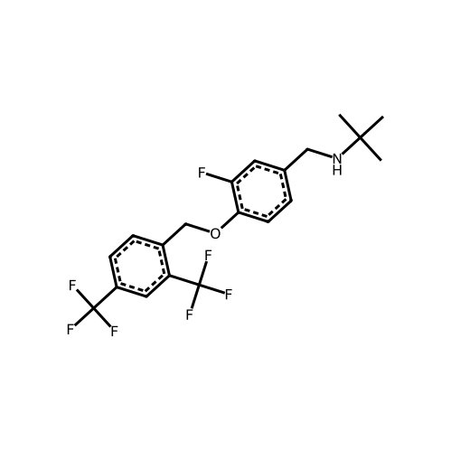 CC(C)(C)NCc1ccc(OCc2ccc(C(F)(F)F)cc2C(F)(F)F)c(F)c1